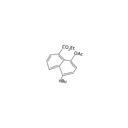 CCCCc1ccc(OC(C)=O)c2c(C(=O)OCC)cccc12